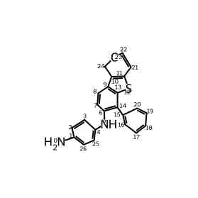 Nc1ccc(Nc2ccc3c4c(sc3c2-c2ccccc2)C=CCC4)cc1